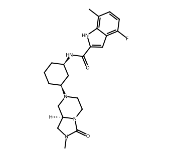 Cc1ccc(F)c2cc(C(=O)N[C@@H]3CCC[C@H](N4CCN5C(=O)N(C)C[C@H]5C4)C3)[nH]c12